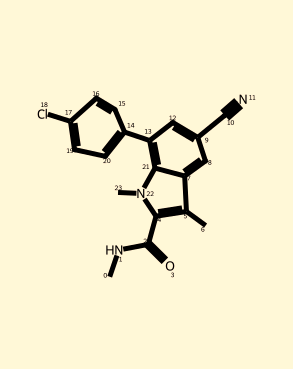 CNC(=O)c1c(C)c2cc(C#N)cc(-c3ccc(Cl)cc3)c2n1C